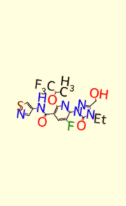 CCn1c(CO)nn(-c2nc(O[C@@H](C)C(F)(F)F)c(C(=O)Nc3cnsc3)cc2F)c1=O